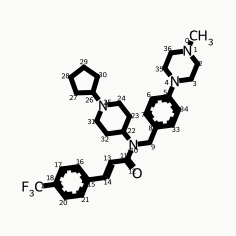 CN1CCN(c2ccc(CN(C(=O)C=Cc3ccc(C(F)(F)F)cc3)C3CCN(C4CCCC4)CC3)cc2)CC1